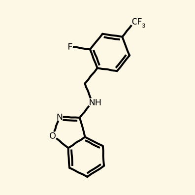 Fc1cc(C(F)(F)F)ccc1CNc1noc2ccccc12